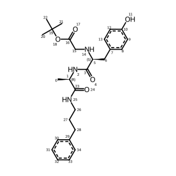 C[C@@H](NC(=O)[C@H](Cc1ccc(O)cc1)NCC(=O)OC(C)(C)C)C(=O)NCCCc1ccccc1